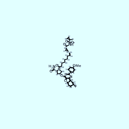 COc1ccc(-c2nc(O[C@@H]3C[C@@H](C(N)=O)N(C(=O)CCCCCC/C=C\[C@@H]4C[C@@H]4C(=O)NS(=O)(=O)C4(C)CC4)C3)c3oc4ccc(F)cc4c3n2)cc1